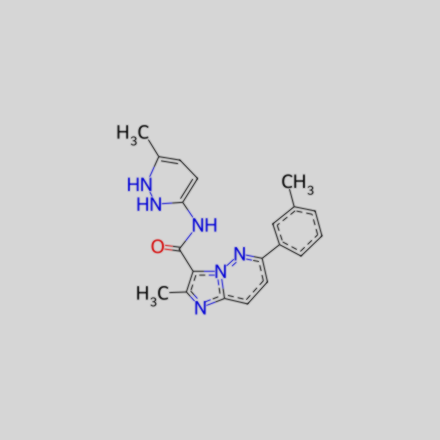 CC1=CC=C(NC(=O)c2c(C)nc3ccc(-c4cccc(C)c4)nn23)NN1